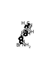 Cc1ncnc2c1ccn2[C@@H]1O[C@H]2[C@H](CC[C@H]2Oc2ccc3cc(Br)c(N)nc3c2)[C@H]1O